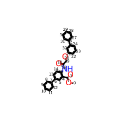 COC(=O)c1cc(-c2ccccc2)ccc1NC(=O)COc1cccc(-c2ccccc2)c1